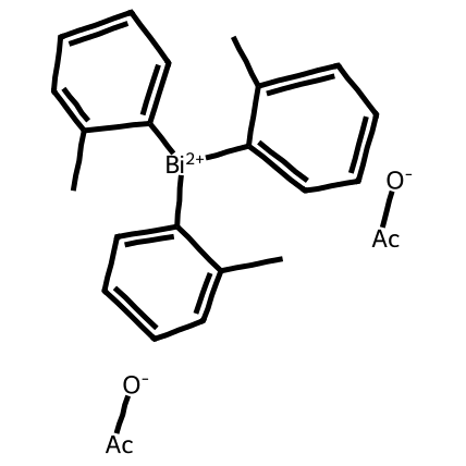 CC(=O)[O-].CC(=O)[O-].Cc1cccc[c]1[Bi+2]([c]1ccccc1C)[c]1ccccc1C